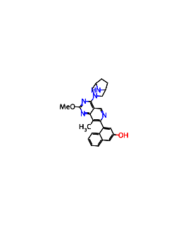 COc1nc(N2CC3CCC(C2)N3)c2cnc(-c3cc(O)cc4ccccc34)c(C)c2n1